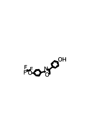 Oc1ccc(-c2coc(-c3ccc(OC(F)(F)F)cc3)n2)cc1